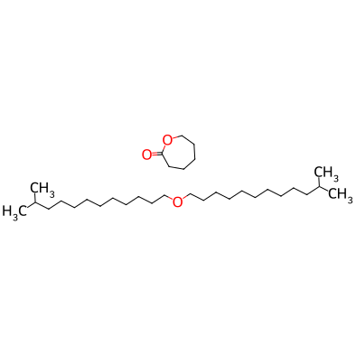 CC(C)CCCCCCCCCCOCCCCCCCCCCC(C)C.O=C1CCCCCO1